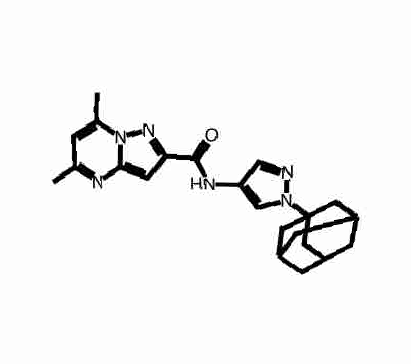 Cc1cc(C)n2nc(C(=O)Nc3cnn(C45CC6CC(CC(C6)C4)C5)c3)cc2n1